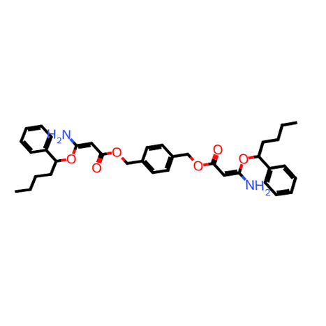 CCCCC(OC(N)=CC(=O)OCc1ccc(COC(=O)C=C(N)OC(CCCC)c2ccccc2)cc1)c1ccccc1